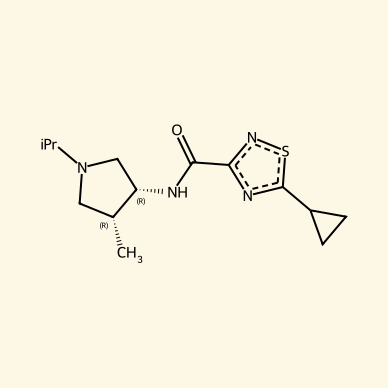 CC(C)N1C[C@@H](C)[C@@H](NC(=O)c2nsc(C3CC3)n2)C1